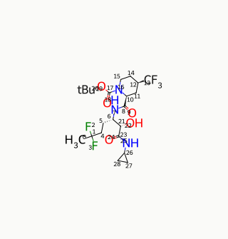 CC(F)(F)CC[C@H](NC(=O)[C@@H]1C[C@H](C(F)(F)F)CCN1C(=O)OC(C)(C)C)[C@H](O)C(=O)NC1CC1